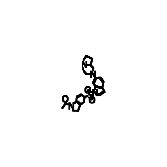 CC(=O)N1CCc2cc(S(=O)(=O)n3ccc4ccc(N5CCN6CCCC6C5)cc43)ccc21